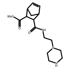 CSC(=O)C1C2C=CC(C2)C1C(=O)NCCN1CCNCC1